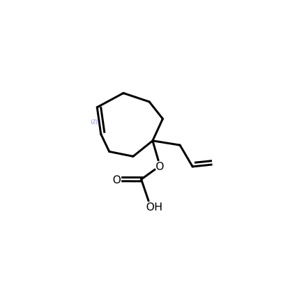 C=CCC1(OC(=O)O)CC/C=C\CCC1